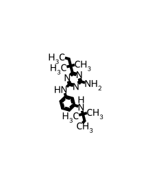 CCC(C)(C)Nc1cccc(Nc2nc(N)nc(C(C)(C)CC)n2)c1